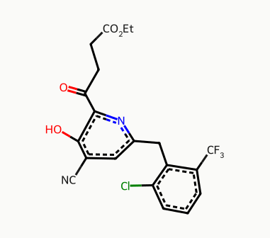 CCOC(=O)CCC(=O)c1nc(Cc2c(Cl)cccc2C(F)(F)F)cc(C#N)c1O